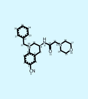 N#Cc1ccc2c(c1)C[C@H](NC(=O)CN1CCOCC1)CN2Cc1ccccc1